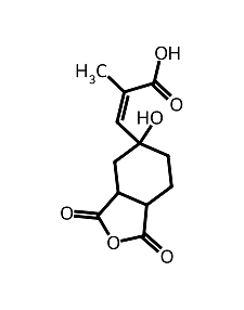 CC(=CC1(O)CCC2C(=O)OC(=O)C2C1)C(=O)O